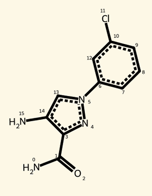 NC(=O)c1nn(-c2cccc(Cl)c2)cc1N